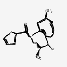 Bc1ccc2c(c1)N(C(=O)c1ccco1)C[C@H](CC)N2C(C)=O